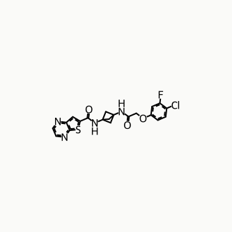 O=C(COc1ccc(Cl)c(F)c1)NC12CC(NC(=O)c3cc4nccnc4s3)(C1)C2